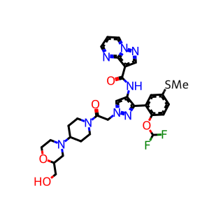 CSc1ccc(OC(F)F)c(-c2nn(CC(=O)N3CCC(N4CCOC(CO)C4)CC3)cc2NC(=O)c2cnn3cccnc23)c1